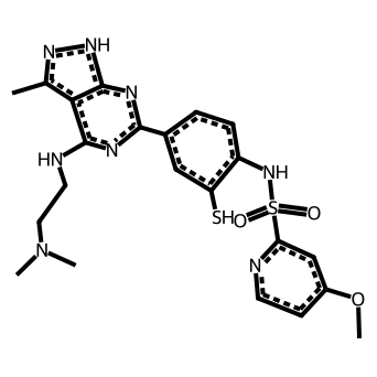 COc1ccnc(S(=O)(=O)Nc2ccc(-c3nc(NCCN(C)C)c4c(C)n[nH]c4n3)cc2S)c1